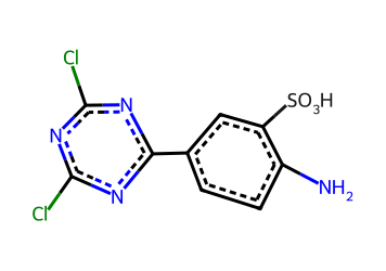 Nc1ccc(-c2nc(Cl)nc(Cl)n2)cc1S(=O)(=O)O